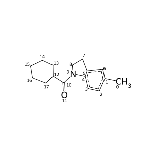 Cc1ccc2c(c1)CCN2C(=O)C1CCCCC1